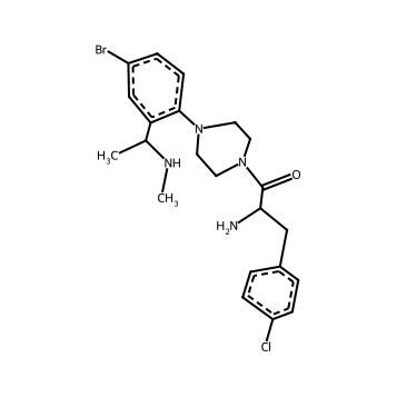 CNC(C)c1cc(Br)ccc1N1CCN(C(=O)C(N)Cc2ccc(Cl)cc2)CC1